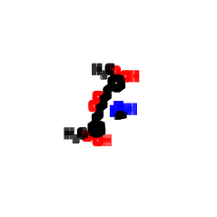 COc1cc(C=CC(=O)CC(=O)C=CC2CC=C(O)C(OC)C2)ccc1O.c1c[nH]nn1